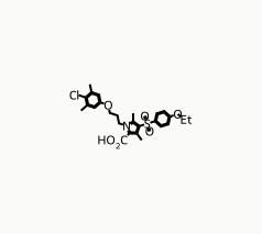 CCOc1ccc(S(=O)(=O)c2c(C)c(C(=O)O)n(CCCOc3cc(C)c(Cl)c(C)c3)c2C)cc1